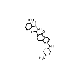 N[C@H]1CC[C@H](Nc2ccn3c(=O)c(C(=O)NC(CC(=O)O)c4ccccc4)ccc3c2)CC1